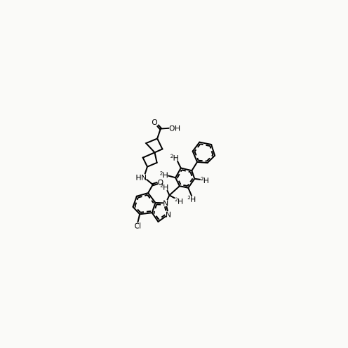 [2H]c1c([2H])c(C([2H])([2H])n2ncc3c(Cl)ccc(C(=O)NC4CC5(C4)CC(C(=O)O)C5)c32)c([2H])c([2H])c1-c1ccccc1